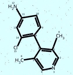 Cc1cncc(C)c1-c1ccc(N)cc1Cl